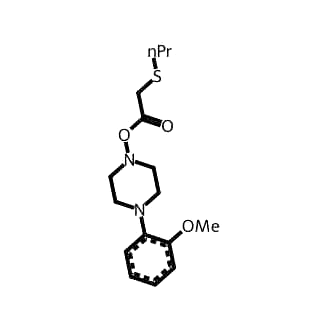 CCCSCC(=O)ON1CCN(c2ccccc2OC)CC1